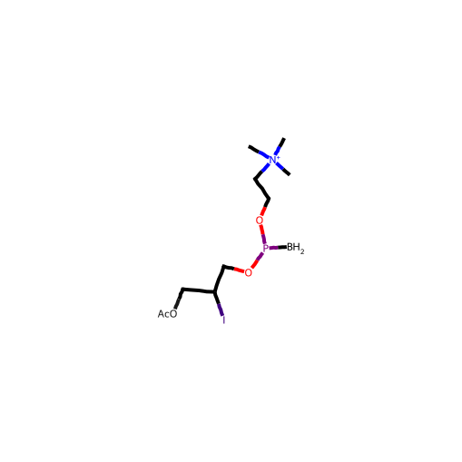 BP(OCC[N+](C)(C)C)OCC(I)COC(C)=O